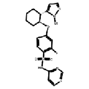 CCn1nccc1[C@H]1CCCC[C@@H]1Oc1ccc(S(=O)(=O)Nc2ccncn2)c(F)c1